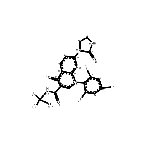 CC(NC(=O)c1cn(-c2c(F)cc(F)cc2F)c2nc(N3CCNC3=O)ccc2c1=O)(C(F)(F)F)C(F)(F)F